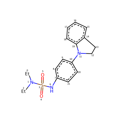 CCN(CC)S(=O)(=O)Nc1ccc(N2CCc3ccccc32)cc1